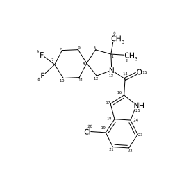 CC1(C)CC2(CCC(F)(F)CC2)CN1C(=O)c1cc2c(Cl)cccc2[nH]1